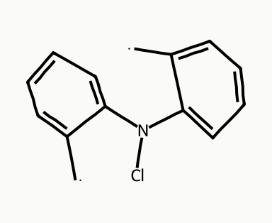 [CH2]c1ccccc1N(Cl)c1ccccc1[CH2]